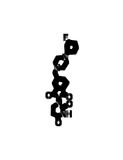 O=C1CCN(N2C(=O)c3ccc(CN4CCN(c5cccc(F)c5)CC4)cc3C2=O)C(=O)N1